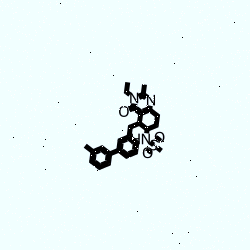 CCn1c(C)nc2c(c1=O)C(Cc1cccc(-c3cccc(C)c3)c1)C(NS(C)(=O)=O)CC2